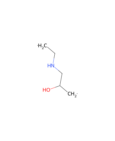 [CH2]CNCC([CH2])O